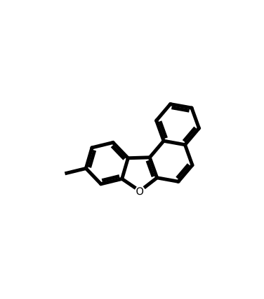 Cc1ccc2c(c1)oc1ccc3ccccc3c12